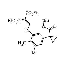 CCOC(=O)C(=CNc1cc(C2(C(=O)OC(C)(C)C)CC2)cc(Br)c1C)C(=O)OCC